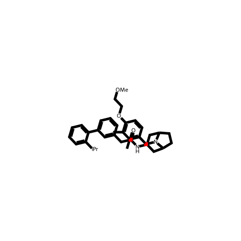 COCCOc1ccc(CN2C3CCC2CC(NC(=O)Cc2cccc(-c4ccccc4C(C)C)c2)C3)c(C)c1C